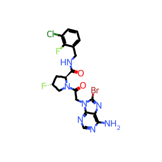 Nc1ncnc2c1nc(Br)n2CC(=O)N1C[C@H](F)C[C@H]1C(=O)NCc1cccc(Cl)c1F